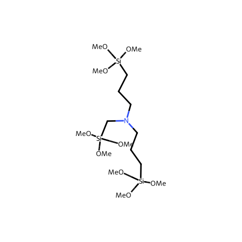 CO[Si](CCCN(CCC[Si](OC)(OC)OC)C[Si](OC)(OC)OC)(OC)OC